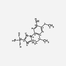 CCc1cc(C(C)C)c(-n2cnc(C(F)(F)F)n2)cc1S